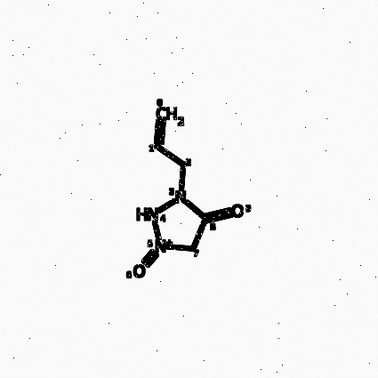 C=CCN1N[N+](=O)CC1=O